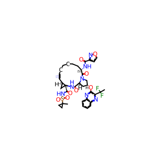 CC(F)(F)c1nc2ccccc2nc1O[C@@H]1C[C@H]2C(=O)N[C@]3(C(=O)NS(=O)(=O)C4(C)CC4)C[C@H]3/C=C\CCCCC[C@H](NC(=O)c3ccon3)C(=O)N2C1